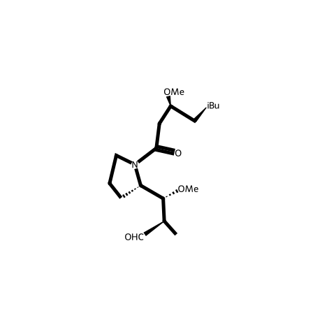 CC[C@H](C)C[C@@H](CC(=O)N1CCC[C@H]1[C@H](OC)[C@@H](C)C=O)OC